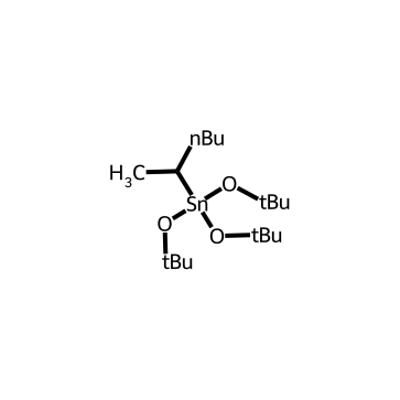 CCCC[CH](C)[Sn]([O]C(C)(C)C)([O]C(C)(C)C)[O]C(C)(C)C